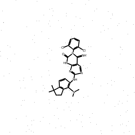 CN(C)c1c(Nc2ncc3c(=N)n(-c4c(Cl)cccc4Cl)c(=O)[nH]c3n2)ccc2c1CCC2(C)C